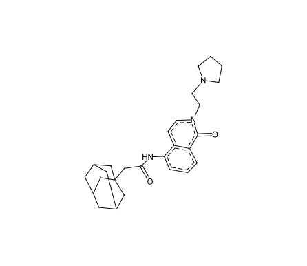 O=C(CC12CC3CC(CC(C3)C1)C2)Nc1cccc2c(=O)n(CCN3CCCC3)ccc12